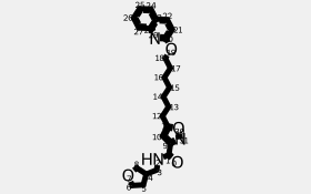 O=C(NCC1CCOC1)c1cc(CCCCCCCOc2ccc3ccccc3n2)on1